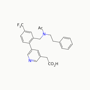 CC(=O)N(CCc1ccccc1)Cc1cc(C(F)(F)F)ccc1-c1cncc(CC(=O)O)c1